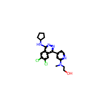 CN(CCO)c1cc(-c2nnc(NC3CCCC3)c3cc(Cl)c(Cl)cc23)ccn1